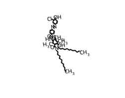 CCCCCCCCCCCCN(CCCCCCCCCCCC)C(=O)c1c(C)c(NS(=O)(=O)c2ccc(N=Nc3ccc(O)c(Cl)c3)cc2)c(C)c(C)c1O